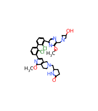 COc1nc(-c2cccc(-c3cccc(-c4cc5c(c(OC)n4)CCN(CC4CCC(=O)N4)C5)c3Cl)c2Cl)cnc1CN1CC(O)C1